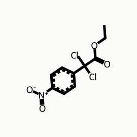 CCOC(=O)C(Cl)(Cl)c1ccc([N+](=O)[O-])cc1